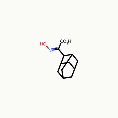 O=C(O)C(=NO)C1C2CC3CC(C2)CC1C3